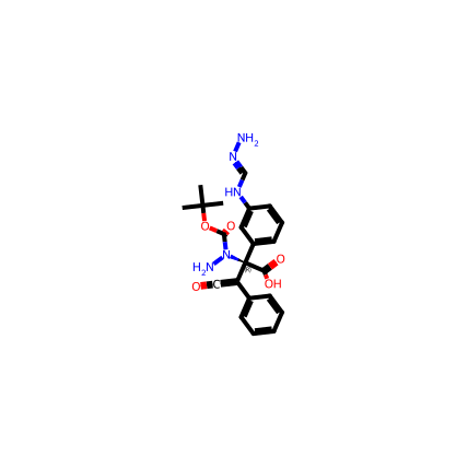 CC(C)(C)OC(=O)N(N)[C@@](C(=O)O)(C(=C=O)c1ccccc1)c1cccc(NC=NN)c1